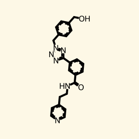 O=C(NCCc1ccncc1)c1cccc(-c2nnn(Cc3ccc(CO)cc3)n2)c1